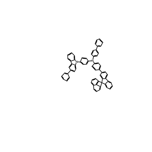 c1ccc(-c2ccc(N(c3ccc(-c4ccc5c(c4)C4(c6ccccc6-5)c5cccc6cccc4c56)cc3)c3ccc(-n4c5ccccc5c5cc(-c6ccccc6)ccc54)cc3)cc2)cc1